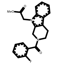 COC(=O)Cn1c2c(c3ccccc31)CCN(C(=O)c1ccccc1F)C2